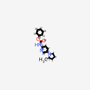 C[C@@H]1CCCN1c1ccc(NC(=O)Oc2ccccc2)nc1